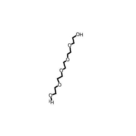 [2H]OCCOCCOCCOCCOCCO